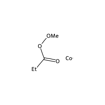 CCC(=O)OOC.[Co]